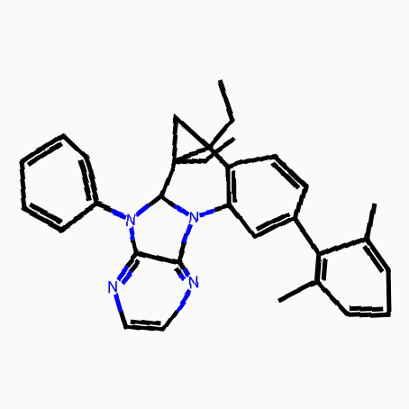 CCC12CC1(CC)C1N(c3ccccc3)c3nccnc3N1c1cc(-c3c(C)cccc3C)ccc12